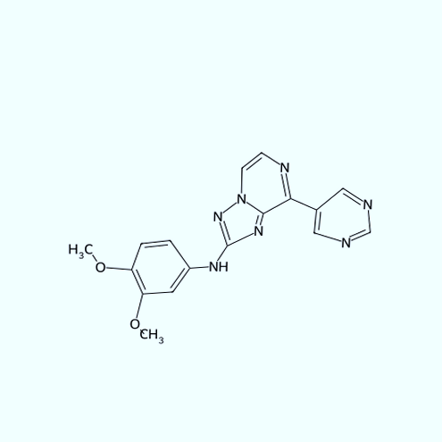 COc1ccc(Nc2nc3c(-c4cncnc4)nccn3n2)cc1OC